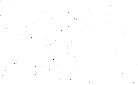 C=C(COC(=O)O)CC(F)(F)F